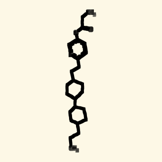 CCCC1CCC(C2CCC(CCc3ccc(OC(=O)CC)cn3)CC2)CC1